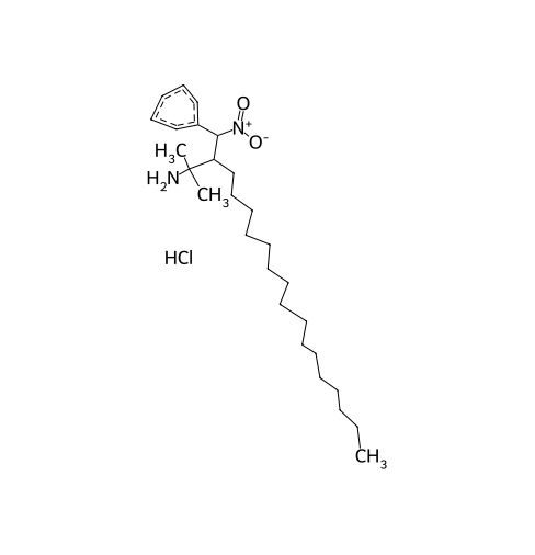 CCCCCCCCCCCCCCCCC(C(c1ccccc1)[N+](=O)[O-])C(C)(C)N.Cl